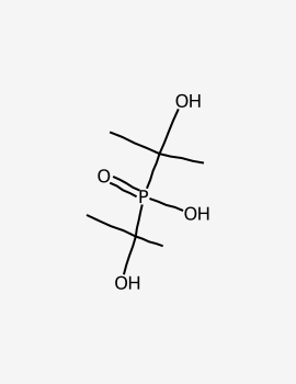 CC(C)(O)P(=O)(O)C(C)(C)O